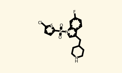 O=S(=O)(c1ccc(Cl)s1)n1cc(CC2CCNCC2)c2ccc(F)cc21